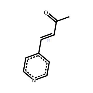 CC(=O)/C=C/c1ccncc1